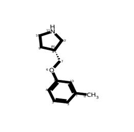 Cc1cccc(OC[C@@H]2CCNC2)c1